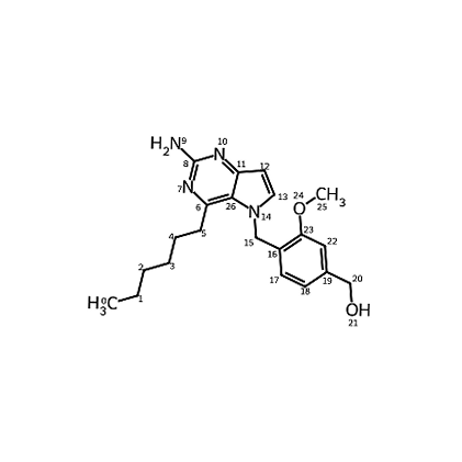 CCCCCCc1nc(N)nc2ccn(Cc3ccc(CO)cc3OC)c12